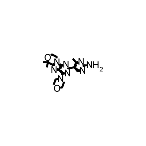 Cc1nc(N)ncc1-c1nc(N2CCOCC2)c2nc3n(c2n1)CCOC3(C)C